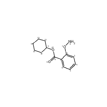 NOc1ccccc1C(=O)OC1CCCCC1